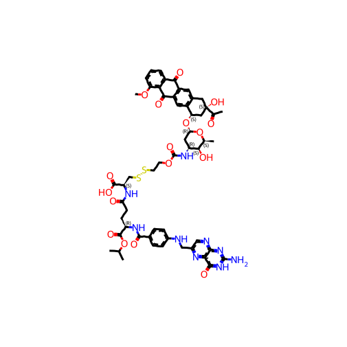 COc1cccc2c1C(=O)c1cc3c(cc1C2=O)C[C@@](O)(C(C)=O)C[C@@H]3O[C@H]1C[C@@H](NC(=O)OCCSSC[C@@H](NC(=O)CC[C@@H](NC(=O)c2ccc(NCc3cnc4nc(N)[nH]c(=O)c4n3)cc2)C(=O)OC(C)C)C(=O)O)[C@H](O)[C@H](C)O1